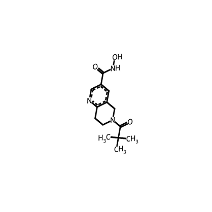 CC(C)(C)C(=O)N1CCc2ncc(C(=O)NO)cc2C1